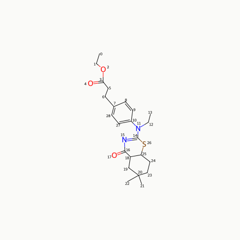 CCOC(=O)CCc1ccc(N(CC)C2=NC(=O)C3CC(C)(C)CCC3S2)cc1